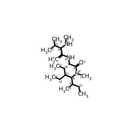 C=C(NCC(=O)N(C)C(C(C)CC)C(CC)CC)C(NC)C(C)C